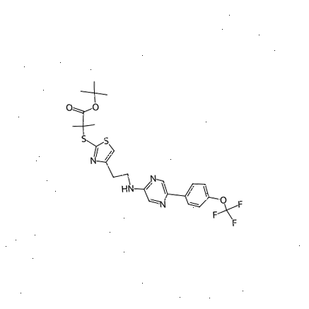 CC(C)(C)OC(=O)C(C)(C)Sc1nc(CCNc2cnc(-c3ccc(OC(F)(F)F)cc3)cn2)cs1